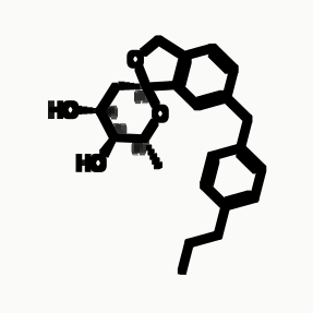 CCCc1ccc(Cc2ccc3c(c2)[C@]2(C[C@@H](O)[C@H](O)[C@@H](C)O2)OC3)cc1